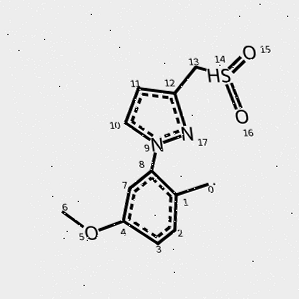 [CH2]c1ccc(OC)cc1-n1ccc(C[SH](=O)=O)n1